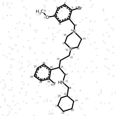 COc1ccc(Br)c(CN2CCN(CCC(CNCC3CCCCC3)c3ccccc3F)CC2)c1